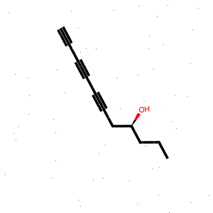 C#CC#CC#CC[C@@H](O)CCC